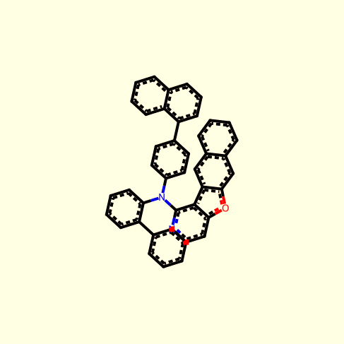 c1ccc(-c2ccccc2N(c2ccc(-c3cccc4ccccc34)cc2)c2nccc3oc4cc5ccccc5cc4c23)cc1